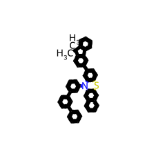 CC1(C)c2ccccc2-c2cc(-c3ccc4c(c3)N(c3cccc(-c5cccc(-c6ccccc6)c5)c3)c3cc5ccccc5cc3S4)ccc21